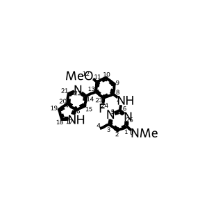 CNc1cc(C)nc(Nc2ccc(OC)c(-c3cc4[nH]ccc4cn3)c2F)n1